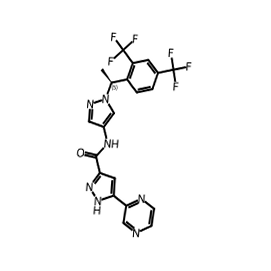 C[C@@H](c1ccc(C(F)(F)F)cc1C(F)(F)F)n1cc(NC(=O)c2cc(-c3cnccn3)[nH]n2)cn1